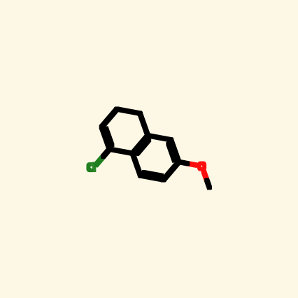 COc1ccc2c(c1)CCC=C2Cl